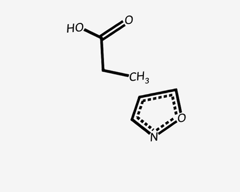 CCC(=O)O.c1cnoc1